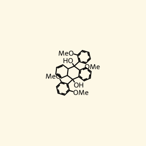 COc1cccc(OC)c1C1(O)c2ccccc2C(O)(c2c(OC)cccc2OC)C2C=CC=CC21